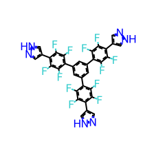 Fc1c(F)c(-c2cc(-c3c(F)c(F)c(-c4cn[nH]c4)c(F)c3F)cc(-c3c(F)c(F)c(-c4cn[nH]c4)c(F)c3F)c2)c(F)c(F)c1-c1cn[nH]c1